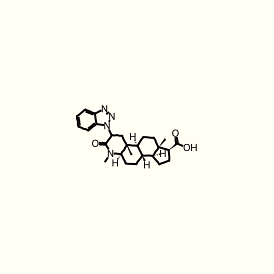 CN1C(=O)C(n2nnc3ccccc32)C[C@]2(C)[C@H]3CC[C@]4(C)[C@@H](C(=O)O)CC[C@H]4[C@@H]3CC[C@@H]12